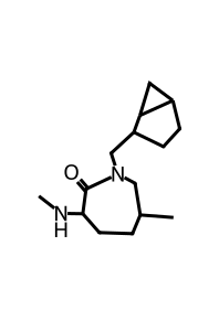 CNC1CCC(C)CN(CC2CCC3CC32)C1=O